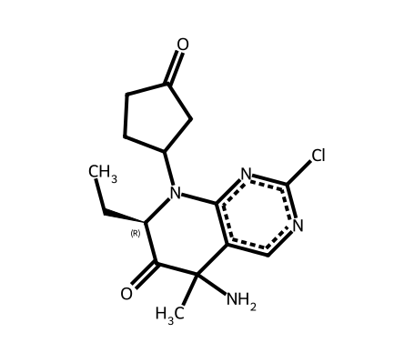 CC[C@@H]1C(=O)C(C)(N)c2cnc(Cl)nc2N1C1CCC(=O)C1